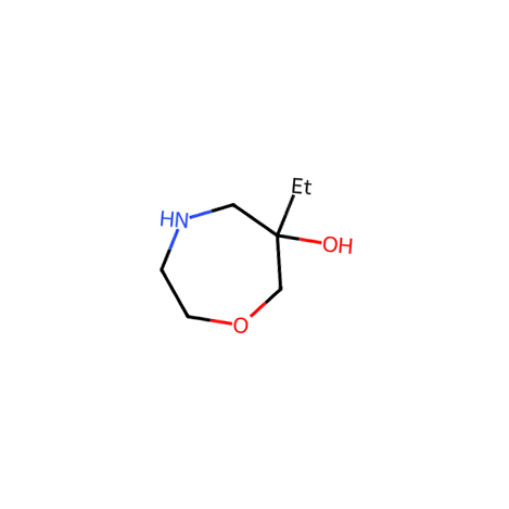 CCC1(O)CNCCOC1